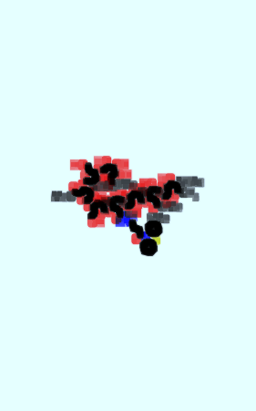 COC(=O)C1O[C@@H](O[C@H]2C(CO)O[C@@H](O[C@@H]3C(C(=O)OC)O[C@@H](O[C@H]4C(CO)O[C@@H](O[C@@H]5C(C(=O)NNCCCC(=O)N6c7ccccc7Sc7ccc(SC)cc76)O[C@@H](O[C@H]6C(CO)O[C@@H](O[C@@H]7C(C(=O)OC)O[C@@H](O[C@H]8C(CO)O[C@@H](C)C(NC(C)=O)[C@@H]8O)C(O)[C@@H]7O)C(NC(C)=O)[C@@H]6O)C(O)[C@@H]5O)C(NC(C)=O)[C@@H]4O)C(O)[C@@H]3O)C(NC(C)=O)[C@@H]2O)C(O)[C@H](O)[C@@H]1O